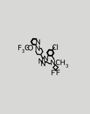 CC1(N2Cc3cc(Cl)ccc3-n3c(nnc3C3CCN(c4ncccc4OC(F)(F)F)CC3)C2)CC(F)(F)C1